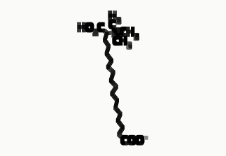 C[N+](C)(C)C(CCCCCCCCCCCCCCCC(=O)[O-])C(=O)O